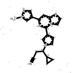 Cn1cc(-c2cc3nccn3c(-c3ccn(C(CC#N)C4CC4)c3)n2)cn1